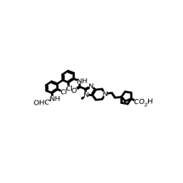 Cn1c(C(=O)Nc2cccc(-c3cccc(NC=O)c3Cl)c2Cl)nc2c1CCN(CCC13CCC(C(=O)O)(CC1)C3)C2